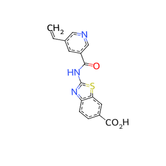 C=Cc1cncc(C(=O)Nc2nc3ccc(C(=O)O)cc3s2)c1